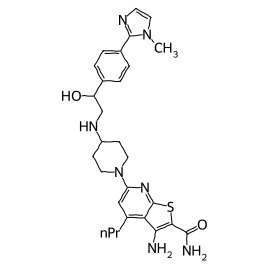 CCCc1cc(N2CCC(NCC(O)c3ccc(-c4nccn4C)cc3)CC2)nc2sc(C(N)=O)c(N)c12